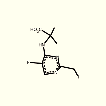 CC(C)(Nc1nc(CI)ncc1F)C(=O)O